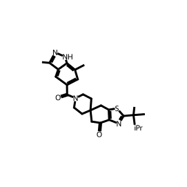 Cc1n[nH]c2c(C)cc(C(=O)N3CCC4(CC3)CC(=O)c3nc(C(C)(C)C(C)C)sc3C4)cc12